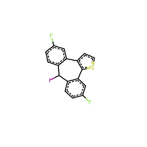 Fc1ccc2c(c1)-c1ccsc1-c1cc(F)ccc1C2I